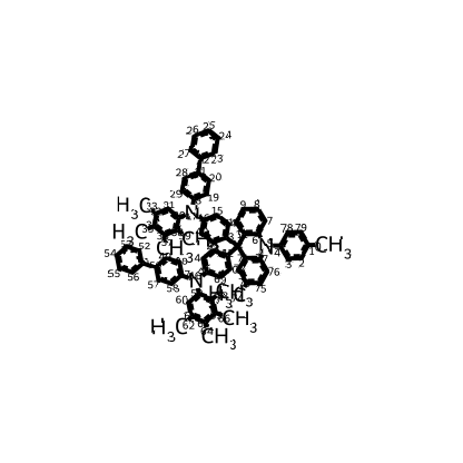 Cc1ccc(N2c3ccccc3C(c3ccc(N(c4ccc(-c5ccccc5)cc4)c4cc(C)c(C)c(C)c4C)cc3)(c3ccc(N(c4ccc(-c5ccccc5)cc4)c4cc(C)c(C)c(C)c4C)cc3)c3cc(C)ccc32)cc1